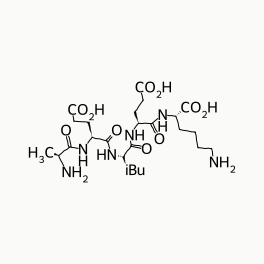 CC[C@H](C)[C@H](NC(=O)[C@H](CCC(=O)O)NC(=O)[C@H](C)N)C(=O)N[C@@H](CCC(=O)O)C(=O)N[C@@H](CCCCN)C(=O)O